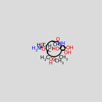 CO[C@H]1C[C@H](C)Cc2c(O)c(O)cc(c2O)NC(=O)/C(C)=C/CC[C@H](C)[C@@H](OC(N)=O)/C(C)=C/[C@H](C)[C@H]1O